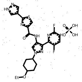 CCOC1CCC(n2cc(NC(=O)c3csc(-c4cn[nH]c4)n3)c(-c3nc(F)ccc3F)n2)CC1.O=P(O)(O)O